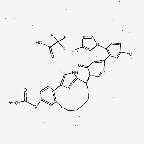 COC(=O)Nc1ccc2c(c1)CCCCCC[C@H](n1cnc(-c3cc(Cl)ccc3-n3cc(Cl)nn3)cc1=O)c1nc-2c[nH]1.O=C(O)C(F)(F)F